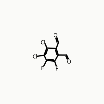 O=Cc1c(F)c(F)c(Cl)c(Cl)c1C=O